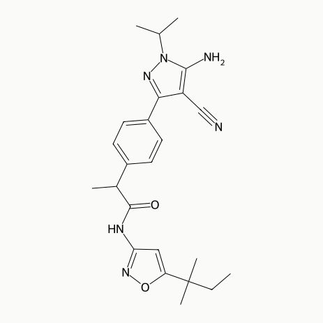 CCC(C)(C)c1cc(NC(=O)C(C)c2ccc(-c3nn(C(C)C)c(N)c3C#N)cc2)no1